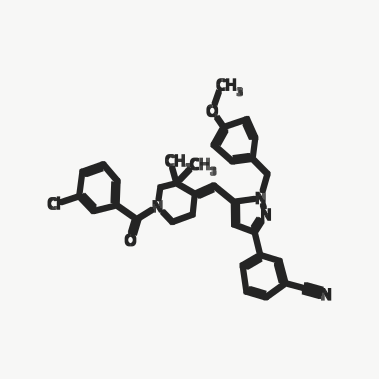 COc1ccc(Cn2nc(-c3cccc(C#N)c3)cc2/C=C2\CCN(C(=O)c3cccc(Cl)c3)CC2(C)C)cc1